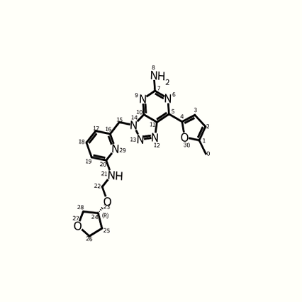 Cc1ccc(-c2nc(N)nc3c2nnn3Cc2cccc(NCO[C@@H]3CCOC3)n2)o1